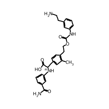 Cc1cc([C@@H](Nc2cccc(C(N)=O)c2)C(=O)O)ccc1CCOC(=O)Nc1cccc(CCN)c1